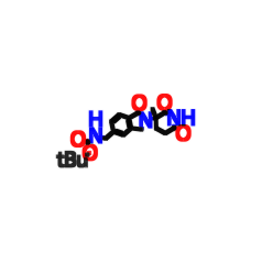 CC(C)(C)OC(=O)NCc1ccc2c(c1)CN(C1(C)CCC(=O)NC1=O)C2=O